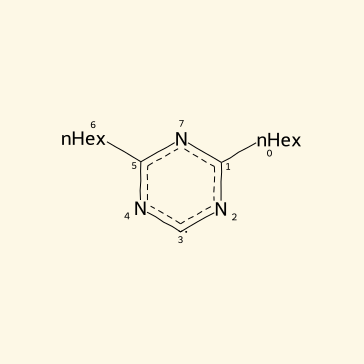 CCCCCCc1n[c]nc(CCCCCC)n1